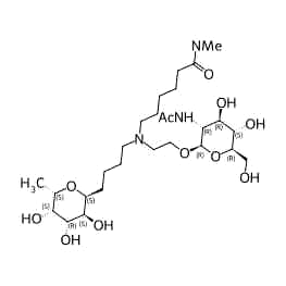 CNC(=O)CCCCCN(CCCC[C@@H]1O[C@@H](C)[C@@H](O)[C@@H](O)[C@@H]1O)CCO[C@@H]1O[C@H](CO)[C@@H](O)[C@H](O)[C@H]1NC(C)=O